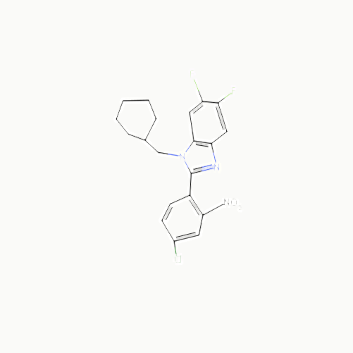 O=[N+]([O-])c1cc(Cl)ccc1-c1nc2cc(F)c(F)cc2n1CC1CCCCC1